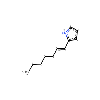 CCCCCCCCCC/C=C/c1ccc[nH]1